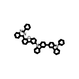 c1ccc(-c2nc(-c3cccc4c3oc3ccc(-n5c6ccccc6c6cc(-c7ccc8c(c7)c7ccccc7n8-c7ccccc7)ccc65)cc34)c3ccccc3n2)cc1